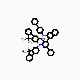 CC1(C)C2=C(CCC(N3c4cc5c(cc4Bc4c(-c6cc7ccccc7cc6Nc6ccc(-c7ccccc7)cc6)cc(-c6ccccc6)cc43)-c3ccccc3C5(C)C)=C2)C2=C1CCC=C2